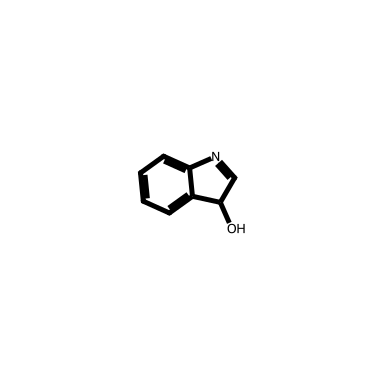 OC1C=Nc2ccccc21